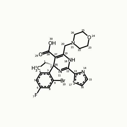 CC[C@@]1(c2ccc(F)cc2Br)N=C(c2nccs2)NC(CN2CCOCC2)=C1C(=O)O